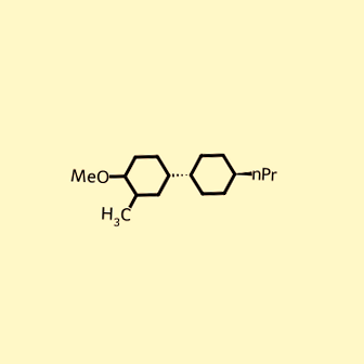 CCC[C@H]1CC[C@H](C2CCC(OC)C(C)C2)CC1